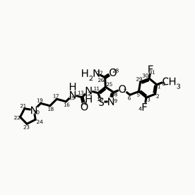 Cc1cc(F)c(COc2nsc(NC(=O)NCCCCN3CCCC3)c2C(N)=O)cc1F